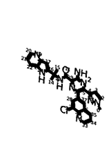 Cn1ccc(-c2nc(N)c(C(=O)NC(C)(C)c3cc4ncccc4[nH]3)nc2-c2cc(Cl)c3ncccc3c2)n1